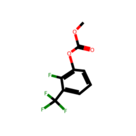 COC(=O)Oc1cccc(C(F)(F)F)c1F